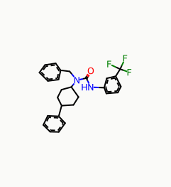 O=C(Nc1cccc(C(F)(F)F)c1)N(Cc1ccccc1)C1CCC(c2ccccc2)CC1